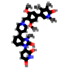 COc1cc(-c2cn(C)c(=O)c(C)c2C)cc(OC)c1CN1CCC(c2cccc3c2n(C)c(=O)n3C2CCC(=O)NC2=O)CC1